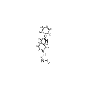 NCCc1ccc2sc(-c3ccccc3)nc2c1